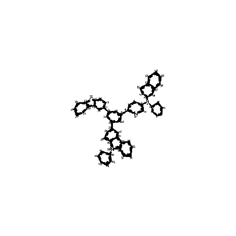 c1ccc(N(c2ccc(-c3cc(-c4ccc5oc6ccccc6c5c4)cc(-c4ccc5c(c4)c4ccccc4n5-c4ccccc4)c3)nc2)c2ccc3ccccc3c2)cc1